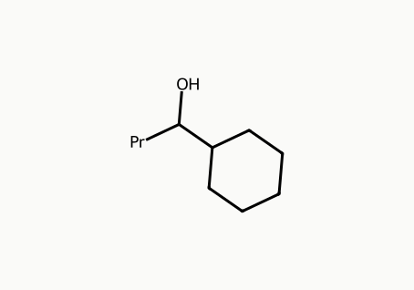 O[CH]([Pr])C1CCCCC1